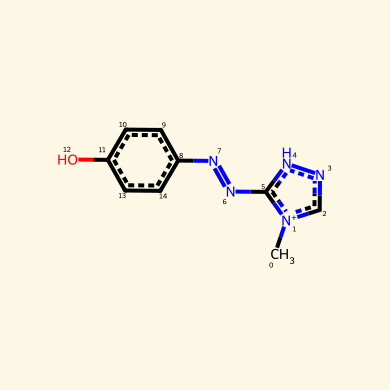 C[n+]1cn[nH]c1N=Nc1ccc(O)cc1